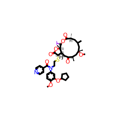 COc1ccc(N(CCS[C@@H]2C(=O)O[C@@]3(C)[C@H]2[C@@H](C)C(=O)[C@H](C)C[C@@](C)(OC)CC(C)C[C@@H](C)C(=O)O[C@@H]3I)C(=O)c2ccncc2)cc1OC1CCCC1